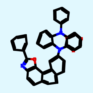 c1ccc(-c2nc3ccc4ccc5ccc(N(c6ccccc6)c6ccccc6N(c6ccccc6)c6ccccc6)cc5c4c3o2)cc1